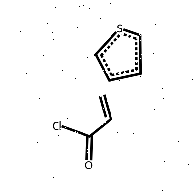 C=CC(=O)Cl.c1ccsc1